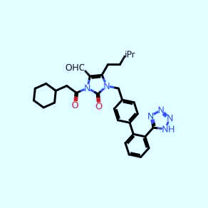 CC(C)CCc1c(C=O)n(C(=O)CC2CCCCC2)c(=O)n1Cc1ccc(-c2ccccc2-c2nnn[nH]2)cc1